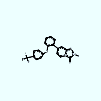 Cn1nc2cc(-c3ccccc3Oc3ccc(C(F)(F)F)cc3)ccn2c1=O